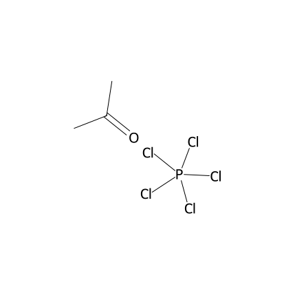 CC(C)=O.ClP(Cl)(Cl)(Cl)Cl